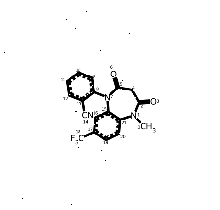 CN1C(=O)CC(=O)N(c2ccccc2C#N)c2cc(C(F)(F)F)ccc21